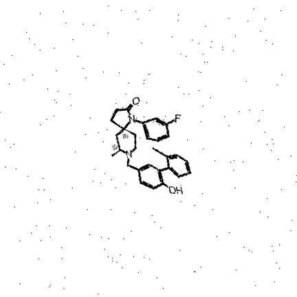 Cc1ccccc1-c1cc(CN2CC[C@]3(CCC(=O)N3c3cccc(F)c3)C[C@@H]2C)ccc1O